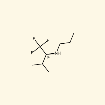 CCCN[C@@H](C(C)C)C(F)(F)F